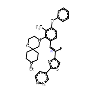 CCN1CCC2(CC1)CN(c1c(/C=C(\F)c3csc(-c4ccnnc4)n3)ccc(Oc3ccccc3)c1C(F)(F)F)CCO2